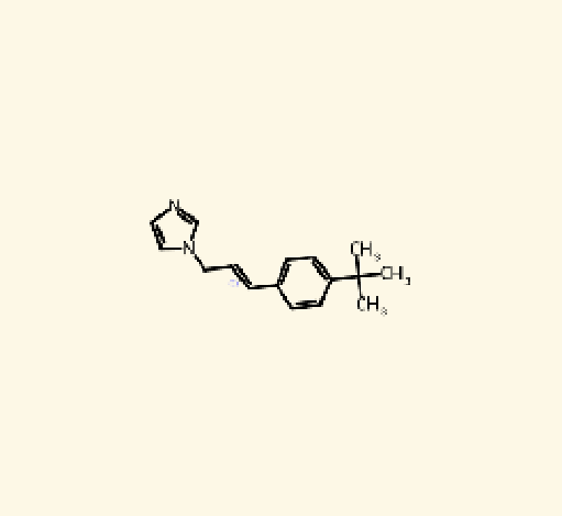 CC(C)(C)c1ccc(/C=C/Cn2ccnc2)cc1